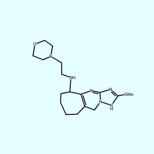 CSC1=NC2=NC3=C(CCCCC3NCCN3CCOCC3)CN2N1